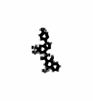 Cc1ccc(-n2ncc3c2CC(C)(C)C[C@@H]3NC(=O)c2cn(C)c3ccccc3c2=O)cc1